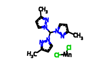 Cc1ccn(C(n2ccc(C)n2)n2ccc(C)n2)n1.[Cl][Mn][Cl]